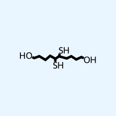 OCCCCC(S)C(S)CCCCO